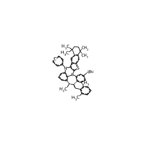 Cc1cccc(C)c1CC1c2ccc(C(C)(C)C)cc2B2c3sc4cc5c(cc4c3N(c3ccccc3)c3cccc(c32)C1C)C(C)(C)CCC5(C)C